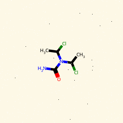 CC(Cl)N(C(N)=O)C(C)Cl